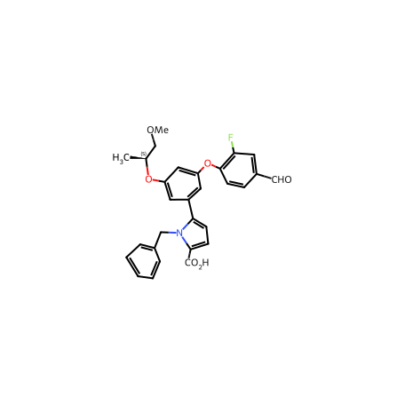 COC[C@H](C)Oc1cc(Oc2ccc(C=O)cc2F)cc(-c2ccc(C(=O)O)n2Cc2ccccc2)c1